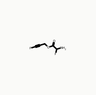 NC(F)C(=O)OCC#CF